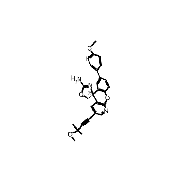 COc1ccc(-c2ccc3c(c2)[C@@]2(COC(N)=N2)c2cc(C#CC(C)(C)OC)cnc2O3)cn1